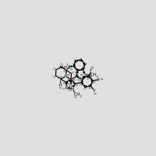 COc1cccc2c1c(C(=O)N1[C@@H]3CCC[C@H]1c1nn(C)c(-c4cc(F)c(F)c(F)c4)c1C3)nn2C